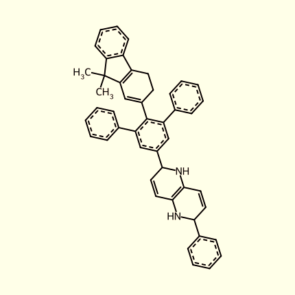 CC1(C)C2=C(CCC(c3c(-c4ccccc4)cc(C4C=CC5=C(C=CC(c6ccccc6)N5)N4)cc3-c3ccccc3)=C2)c2ccccc21